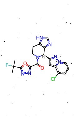 CC(C)(F)c1nnc(C(=O)N2CCc3[nH]cnc3[C@H]2c2cc3c(Cl)cccn3n2)o1